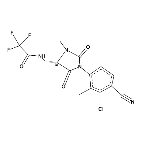 Cc1c(N2C(=O)[C@H](CNC(=O)C(F)(F)F)N(C)C2=O)ccc(C#N)c1Cl